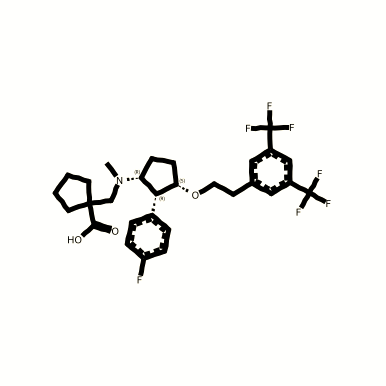 CN(CC1(C(=O)O)CCCC1)[C@@H]1CC[C@H](OCCc2cc(C(F)(F)F)cc(C(F)(F)F)c2)[C@@H]1c1ccc(F)cc1